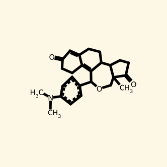 CN(C)c1ccc(C2OCC3(C)C(=O)CCC3C3CCC4=CC(=O)CCC4=C23)cc1